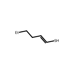 CCCCC=CS